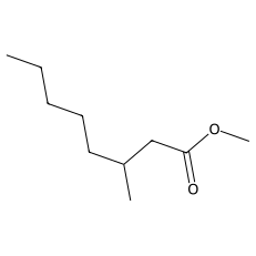 CCCCCC(C)CC(=O)OC